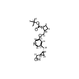 CC(C)(C)OC(=O)N1CC[C@H]1COc1cncc(C[C@@H]2C[C@H]2CO)c1